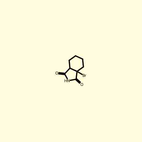 O=C1NC(=O)C2(Br)CCCCC12